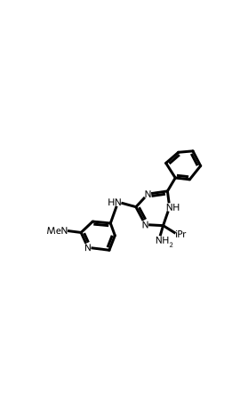 CNc1cc(NC2=NC(N)(C(C)C)NC(c3ccccc3)=N2)ccn1